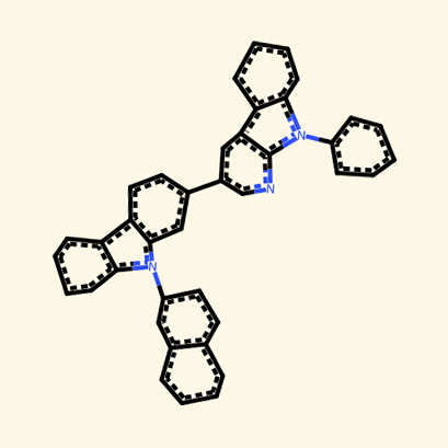 c1ccc(-n2c3ccccc3c3cc(-c4ccc5c6ccccc6n(-c6ccc7ccccc7c6)c5c4)cnc32)cc1